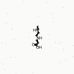 CCNCCNCCC(=O)O